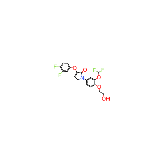 O=C1C(Oc2ccc(F)c(F)c2)=CCN1c1ccc(OCCO)c(OC(F)F)c1